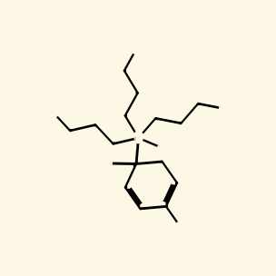 CCCCP(C)(CCCC)(CCCC)C1(Cl)C=CC(Cl)=CC1